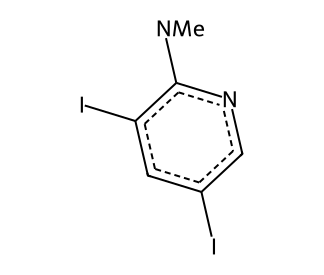 CNc1ncc(I)cc1I